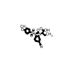 CCC(C(=O)O)n1c(=O)n(S(=O)(=O)c2ccc(OC)cc2)c2ccc(C#N)cc21